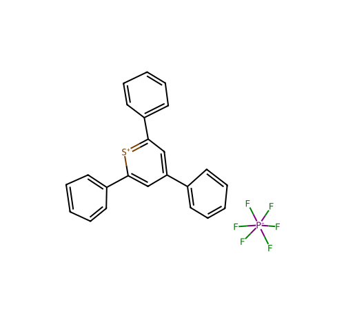 F[P-](F)(F)(F)(F)F.c1ccc(-c2cc(-c3ccccc3)[s+]c(-c3ccccc3)c2)cc1